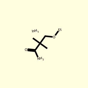 CCOCC(C)(C)C(N)=O.[InH3]